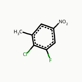 Cc1cc([N+](=O)[O-])cc(F)c1Cl